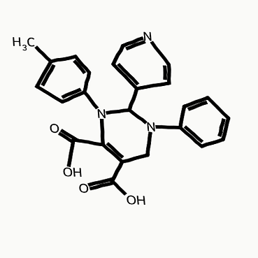 Cc1ccc(N2C(C(=O)O)=C(C(=O)O)CN(c3ccccc3)C2c2ccncc2)cc1